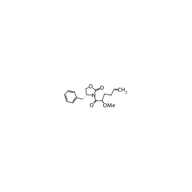 C=CCC[C@@H](OC)C(=O)N1C(=O)OC[C@H]1Cc1ccccc1